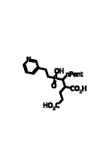 CCCCCC(C(CCC(=O)O)C(=O)O)P(=O)(O)CCc1cccnc1